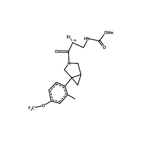 CC[C@H](CNC(=O)OC)C(=O)N1CC2CC2(c2ccc(OC(F)(F)F)cc2C)C1